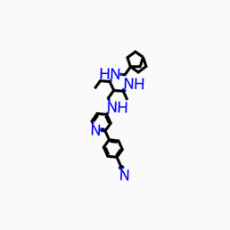 CCC(NCC12CCC(CC1)C2)C(CNc1ccnc(-c2ccc(C#N)cc2)c1)C(C)=N